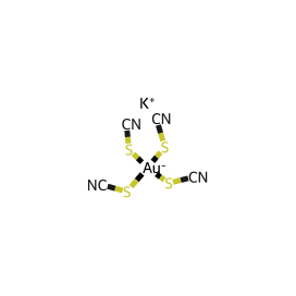 N#C[S][Au-]([S]C#N)([S]C#N)[S]C#N.[K+]